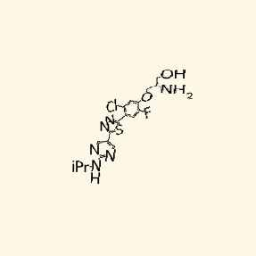 CC(C)Nc1ncc(-c2nnc(-c3cc(F)c(OC[C@@H](N)CO)cc3Cl)s2)cn1